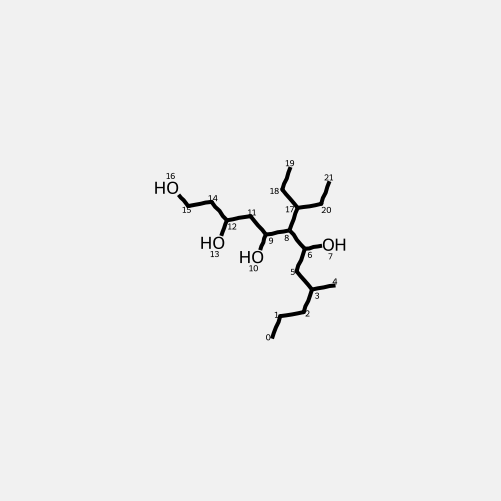 CCCC(C)CC(O)C(C(O)CC(O)CCO)C(CC)CC